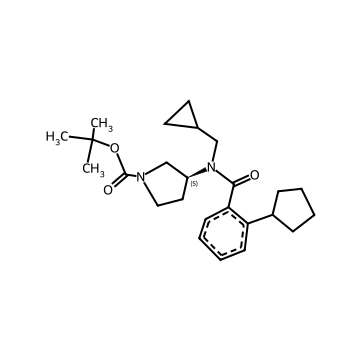 CC(C)(C)OC(=O)N1CC[C@H](N(CC2CC2)C(=O)c2ccccc2C2CCCC2)C1